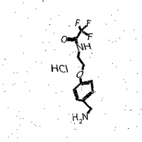 Cl.NCc1ccc(OCCNC(=O)C(F)(F)F)cc1